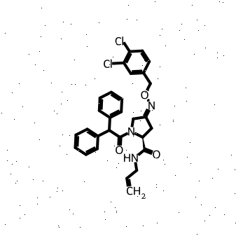 C=CCNC(=O)[C@@H]1CC(=NOCc2ccc(Cl)c(Cl)c2)CN1C(=O)C(c1ccccc1)c1ccccc1